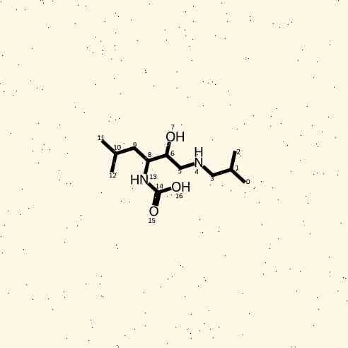 CC(C)CNCC(O)C(CC(C)C)NC(=O)O